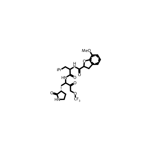 COc1cccc2c1OC(C(=O)NC(CC(C)C)C(=O)NC(C[C@@H]1CCNC1=O)C(=O)COC(F)(F)F)C2